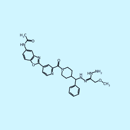 COC/C(=N/NC(c1ccccc1)C1CCN(C(=O)c2cc(-c3nc4cc(NC(C)=O)ccc4o3)ccn2)CC1)NN